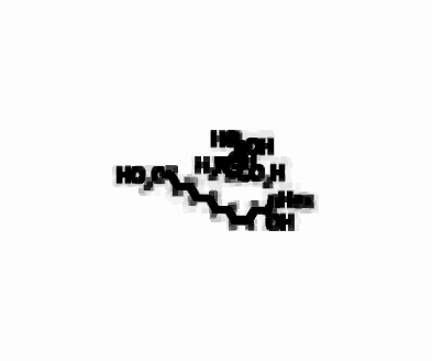 CCCCCCC(O)C/C=C\CCCCCCCC(=O)O.NCC(=O)O.OB(O)O